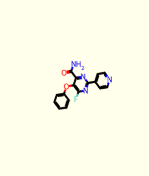 NC(=O)c1nc(-c2ccncc2)nc(F)c1Oc1ccccc1